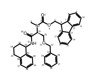 CN(C(=O)OCC1c2ccccc2-c2ccccc21)[C@@H](COCc1ccccc1)C(=O)NC1CCCc2ccccc21